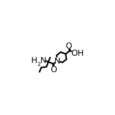 CCCC(C)(N)C(=O)N1CCC(C(=O)O)CC1